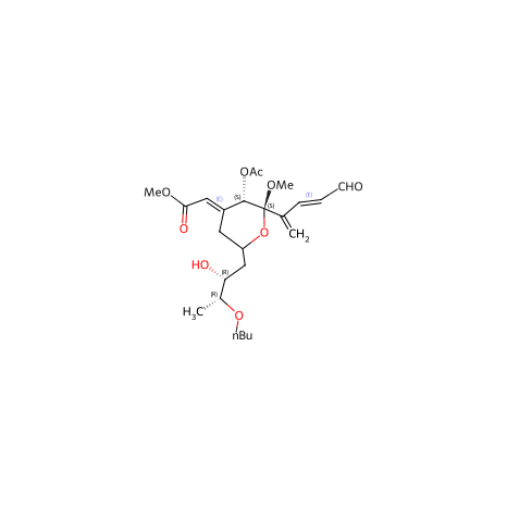 C=C(/C=C/C=O)[C@]1(OC)OC(C[C@@H](O)[C@@H](C)OCCCC)C/C(=C\C(=O)OC)[C@@H]1OC(C)=O